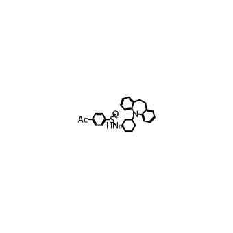 CC(=O)c1ccc([S+]([O-])N[C@H]2CCCC(N3c4ccccc4CCc4ccccc43)C2)cc1